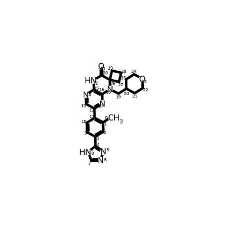 Cc1cc(-c2nnc[nH]2)ccc1-c1cnc2c(n1)N(CC1CCOCC1)C1(CCC1)C(=O)N2